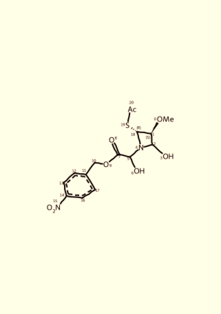 CO[C@H]1C(O)N(C(O)C(=O)OCc2ccc([N+](=O)[O-])cc2)[C@@H]1SC(C)=O